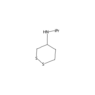 CC(C)NC1CCSSC1